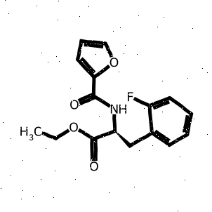 CCOC(=O)[C@H](Cc1ccccc1F)NC(=O)c1ccco1